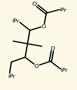 CC(C)CC(OC(=O)C(C)C)C(C)(C)C(OC(=O)C(C)C)C(C)C